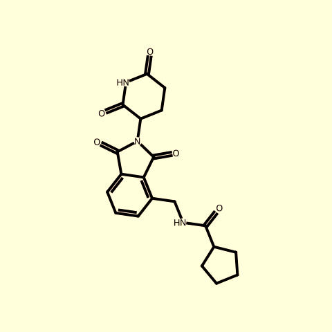 O=C1CCC(N2C(=O)c3cccc(CNC(=O)C4CCCC4)c3C2=O)C(=O)N1